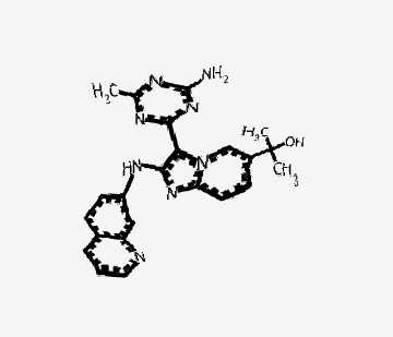 Cc1nc(N)nc(-c2c(Nc3ccc4cccnc4c3)nc3ccc(C(C)(C)O)cn23)n1